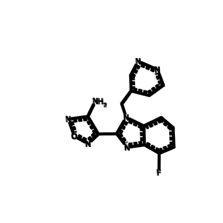 Nc1nonc1-c1nc2c(F)cccc2n1Cc1ccnnc1